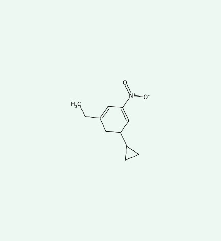 CCC1=CC([N+](=O)[O-])=CC(C2CC2)C1